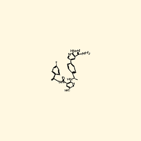 CC(NC(=O)c1cc(C#N)cnc1NC(C)c1ccc(-c2cnc3[nH]nc(N)c3c2)cc1)c1ccc(F)cc1